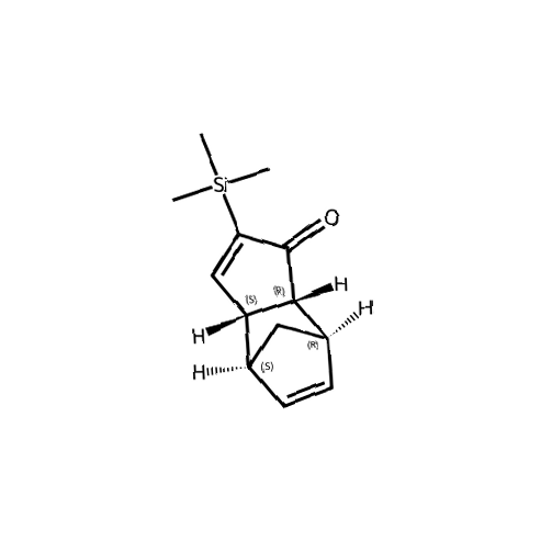 C[Si](C)(C)C1=C[C@@H]2[C@H](C1=O)[C@H]1C=C[C@@H]2C1